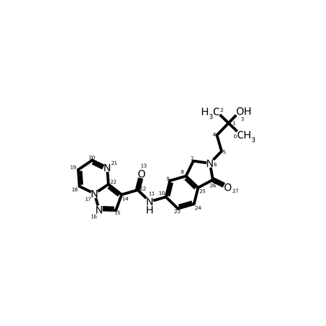 CC(C)(O)CCN1Cc2cc(NC(=O)c3cnn4cccnc34)ccc2C1=O